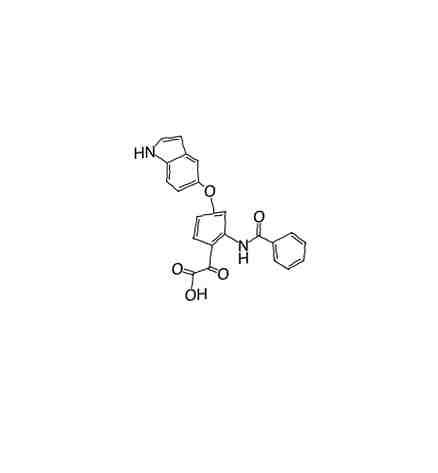 O=C(O)C(=O)c1ccc(Oc2ccc3[nH]ccc3c2)cc1NC(=O)c1ccccc1